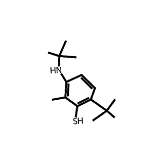 Cc1c(NC(C)(C)C)ccc(C(C)(C)C)c1S